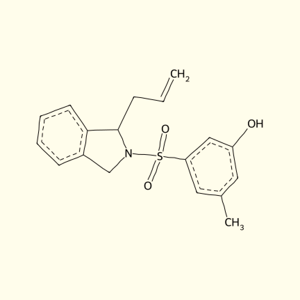 C=CCC1c2ccccc2CN1S(=O)(=O)c1cc(C)cc(O)c1